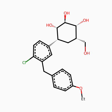 CCOc1ccc(Cc2cc([C@H]3C[C@@H](CO)[C@@H](O)[C@H](O)[C@H]3O)ccc2Cl)cc1